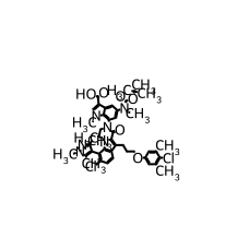 Cc1cc(OCCCc2c3n(c4c(-c5c(C)nn(C)c5C)c(Cl)ccc24)[C@H](C)CN(c2cc(N(C)C(=O)OC(C)(C)C)cc4c(C(=O)O)cn(C)c24)C3=O)cc(C)c1Cl